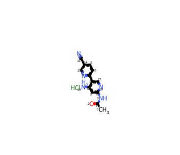 CC(=O)Nc1cc(N)c(-c2ccc(C#N)cn2)cn1.Cl